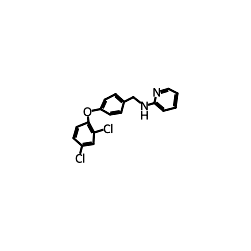 Clc1ccc(Oc2ccc(CNc3ccccn3)cc2)c(Cl)c1